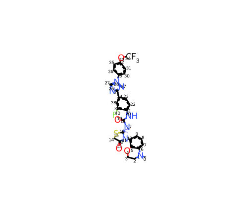 CN1CCOc2c1cccc2N1C(=O)CS/C1=N\C(=O)Nc1ccc(-c2ncn(-c3ccc(OC(F)(F)F)cc3)n2)cc1F